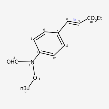 CCCCON(C=O)c1ccc(/C=C/C(=O)OCC)cc1